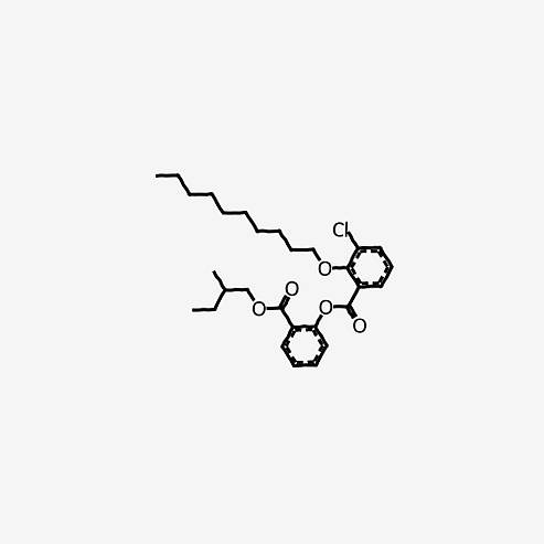 CCCCCCCCCCOc1c(Cl)cccc1C(=O)Oc1ccccc1C(=O)OCC(C)CC